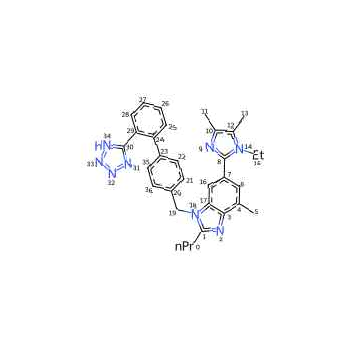 CCCc1nc2c(C)cc(-c3nc(C)c(C)n3CC)cc2n1Cc1ccc(-c2ccccc2-c2nnn[nH]2)cc1